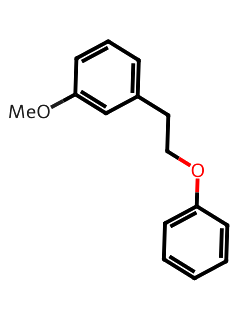 COc1cccc(CCOc2ccccc2)c1